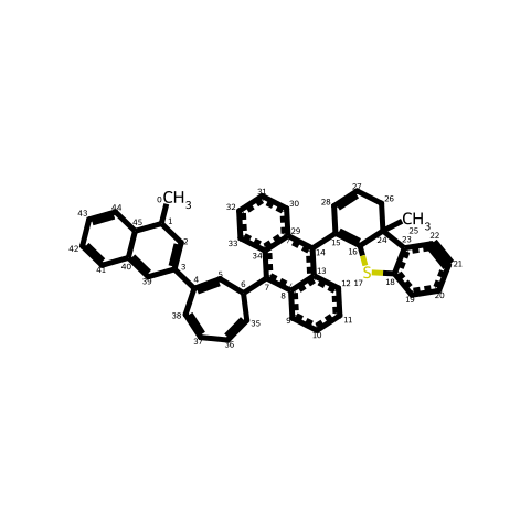 CC1C=C(C2=CC(c3c4ccccc4c(C4=C5Sc6ccc#cc6C5(C)CC=C4)c4ccccc34)C=CC=C2)C=C2C=CC=CC21